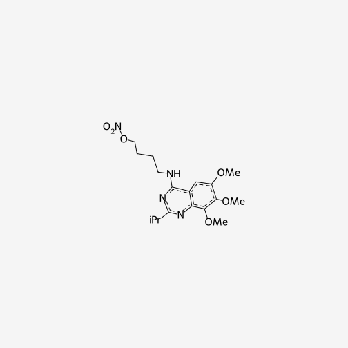 COc1cc2c(NCCCCO[N+](=O)[O-])nc(C(C)C)nc2c(OC)c1OC